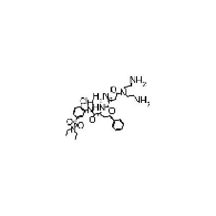 CCN(CC)S(=O)(=O)c1ccc(Cl)c(NC(=O)[C@H](CCc2ccccc2)NC(=O)[C@@H](N)CC(=O)N(CCN)CCN)c1